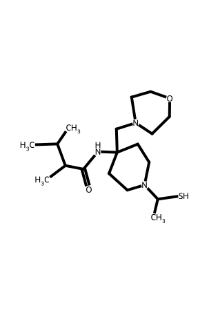 CC(C)C(C)C(=O)NC1(CN2CCOCC2)CCN(C(C)S)CC1